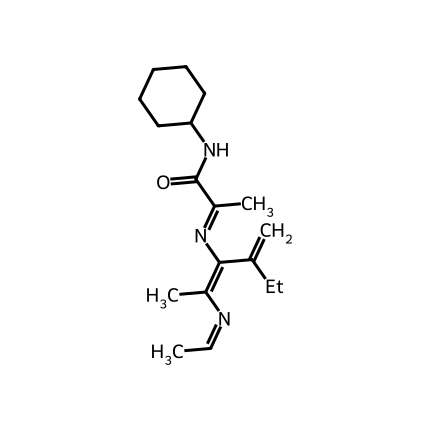 C=C(CC)C(/N=C(\C)C(=O)NC1CCCCC1)=C(C)\N=C/C